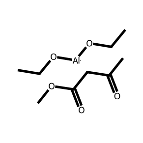 CC[O][Al][O]CC.COC(=O)CC(C)=O